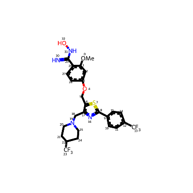 COc1cc(OCc2sc(-c3ccc(C(F)(F)F)cc3)nc2CN2CCC(C(F)(F)F)CC2)ccc1C(=N)NO